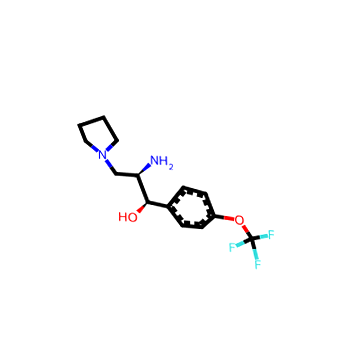 N[C@H](CN1CCCC1)[C@H](O)c1ccc(OC(F)(F)F)cc1